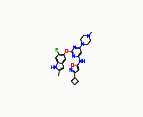 Cc1cc2cc(Oc3nc(Nc4cc(C5CCC5)no4)cc(N4CCN(C)CC4)n3)c(F)cc2[nH]1